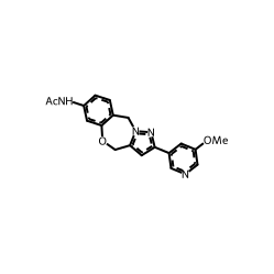 COc1cncc(-c2cc3n(n2)Cc2ccc(NC(C)=O)cc2OC3)c1